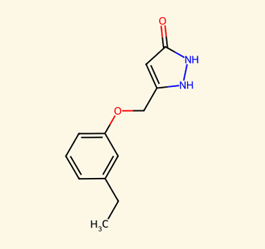 CCc1cccc(OCc2cc(=O)[nH][nH]2)c1